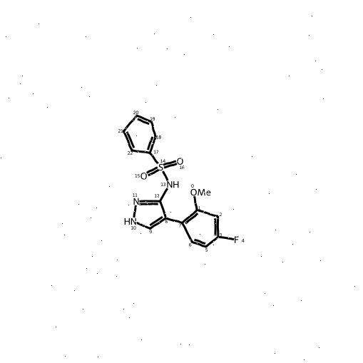 COc1cc(F)ccc1-c1c[nH]nc1NS(=O)(=O)c1ccccc1